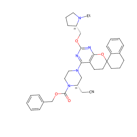 CCN1CCC[C@H]1COc1nc2c(c(N3CCN(C(=O)OCc4ccccc4)[C@@H](CC#N)C3)n1)CCC1(CCCc3ccccc31)O2